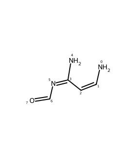 N/C=C\C(N)=N/C=O